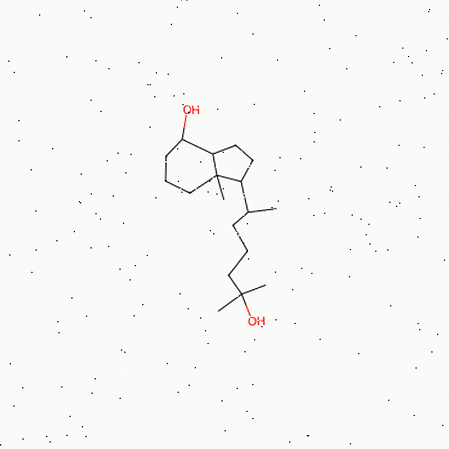 CC(CCCC(C)(C)O)C1CCC2C(O)CCCC12C